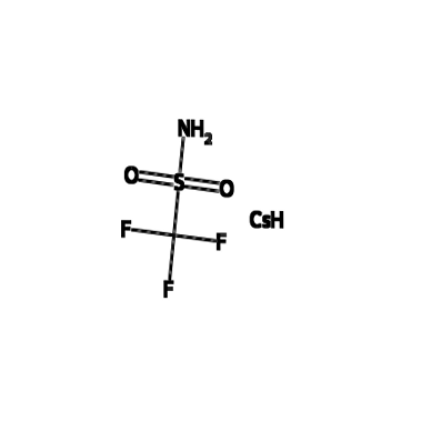 NS(=O)(=O)C(F)(F)F.[CsH]